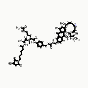 CC(C)[C@H](NC(=O)CCCCCN1C(=O)CC(S)C1=O)C(=O)N[C@@H](CCCNC(N)=O)C(=O)Nc1ccc(COC(=O)NCc2ccc3c(c2)C(=O)c2c(O)cc4c(c2C3=O)N[C@H]([C@@](C)(O)[C@@H](C)O)C#C/C=C\C#C[C@H]4O)cc1